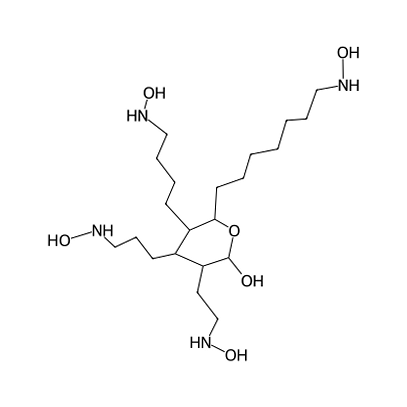 ONCCCCCCCC1OC(O)C(CCNO)C(CCCNO)C1CCCCNO